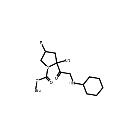 CC(C)(C)OC(=O)N1CC(F)CC1(C#N)C(=O)CNC1CCCCC1